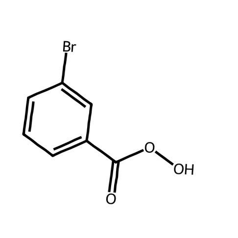 O=C(OO)c1cccc(Br)c1